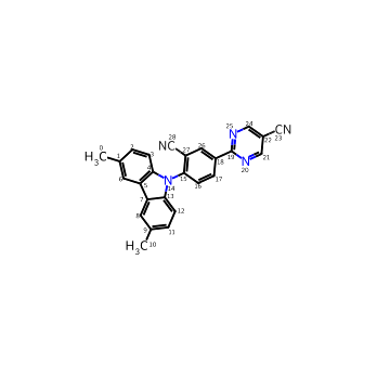 Cc1ccc2c(c1)c1cc(C)ccc1n2-c1ccc(-c2ncc(C#N)cn2)cc1C#N